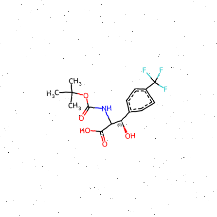 CC(C)(C)OC(=O)NC(C(=O)O)[C@H](O)c1ccc(C(F)(F)F)cc1